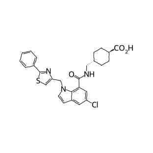 O=C(NC[C@H]1CC[C@H](C(=O)O)CC1)c1cc(Cl)cc2ccn(Cc3csc(-c4ccccc4)n3)c12